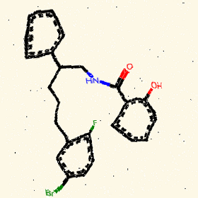 O=C(NCC(CCCc1cc(Br)ccc1F)c1ccccc1)c1ccccc1O